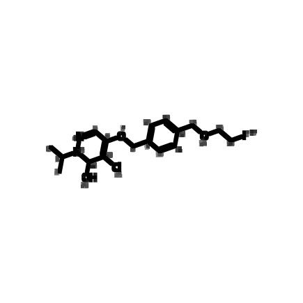 CC(C)N1N=CC(OCc2ccc(COCCF)cc2)=C(Cl)C1O